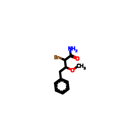 COC(Cc1ccccc1)C(Br)C(N)=O